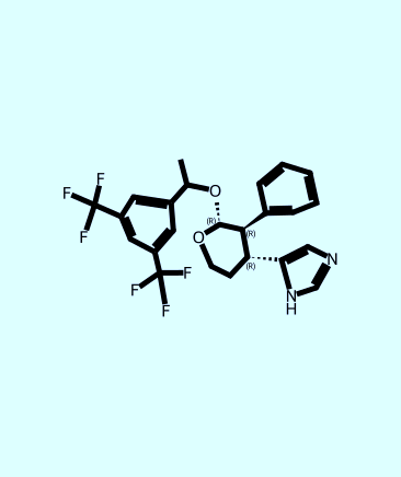 CC(O[C@H]1OCC[C@@H](c2cnc[nH]2)[C@@H]1c1ccccc1)c1cc(C(F)(F)F)cc(C(F)(F)F)c1